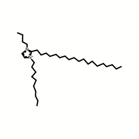 CCCCCCCCCCCCCCCCCCCc1n(CCCC)cc[n+]1CCCCCCCCCC